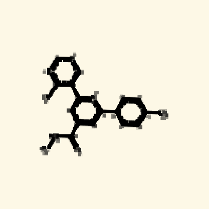 CC(C)c1ncncc1-c1cc(C(=O)NC(C)(C)C)cc(-c2ccc(C(F)(F)F)cc2)n1